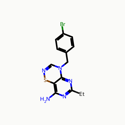 CCc1nc(N)c2c(n1)N(Cc1ccc(Br)cc1)C=NS2